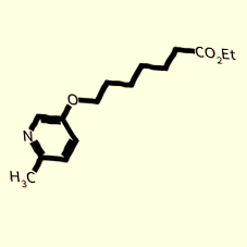 CCOC(=O)CCCCCCOc1ccc(C)nc1